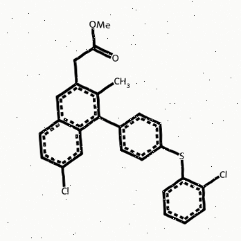 COC(=O)Cc1cc2ccc(Cl)cc2c(-c2ccc(Sc3ccccc3Cl)cc2)c1C